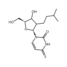 CC(C)CCC1C(O)[C@H](CO)O[C@@H]1n1ccc(=S)[nH]c1=O